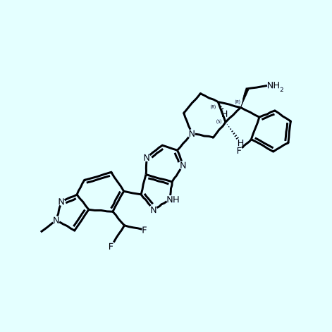 Cn1cc2c(C(F)F)c(-c3n[nH]c4nc(N5CC[C@@H]6[C@H](C5)[C@@]6(CN)c5ccccc5F)cnc34)ccc2n1